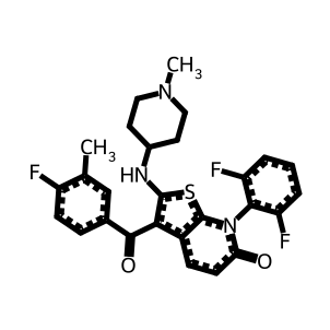 Cc1cc(C(=O)c2c(NC3CCN(C)CC3)sc3c2ccc(=O)n3-c2c(F)cccc2F)ccc1F